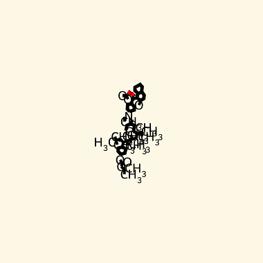 CCN(Cc1cccc(C(CC(C)(C)C(C)(C)C(CC(C)(C)C)c2ccc(OC(=O)OC(C)C)cc2)C(C)(C)C)c1)c1ccc2c(c1)Oc1ccc3ccccc3c1C21OC(=O)c2ccccc21